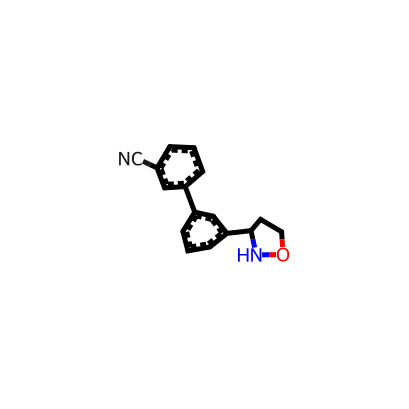 N#Cc1cccc(-c2cccc(C3CCON3)c2)c1